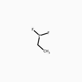 CCP(F)F